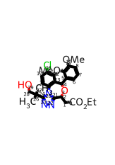 CCOC(=O)CC1OC(c2cccc(OC)c2OC)c2cc(Cl)ccc2-n2c1nnc2C(C)(C)CO